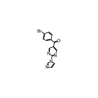 O=C(c1ccc(Br)cc1)c1cnc(-n2ccnc2)nc1